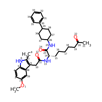 COc1ccc2[nH]c(C)c(CC(=O)N[C@@H](CCCCCC(C)=O)C(=O)NC3CCC(c4ccccc4)CC3)c2c1